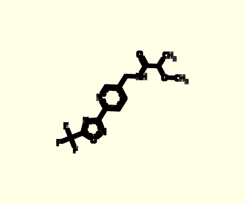 COC(C)C(=O)NCc1ccc(-c2noc(C(F)(F)F)n2)nc1